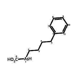 O=C(O)[AsH]CCCCc1cc[c]cc1